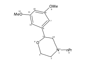 CCC[N+]1CCOC(c2cc(OC)cc(OC)c2)C1